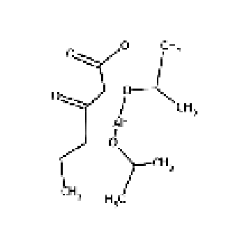 CC(C)[O][Al+][O]C(C)C.CCCC(=O)CC(=O)[O-]